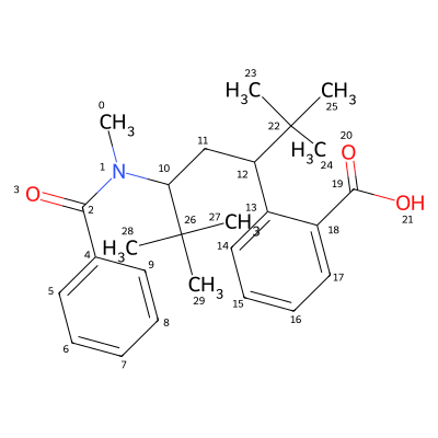 CN(C(=O)c1ccccc1)C(CC(c1ccccc1C(=O)O)C(C)(C)C)C(C)(C)C